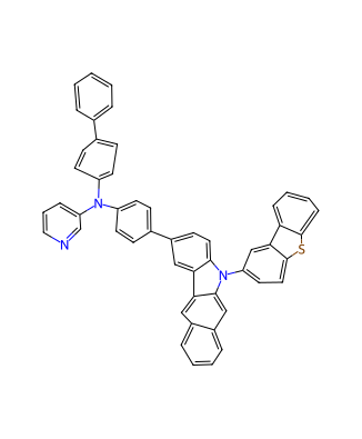 c1ccc(-c2ccc(N(c3ccc(-c4ccc5c(c4)c4cc6ccccc6cc4n5-c4ccc5sc6ccccc6c5c4)cc3)c3cccnc3)cc2)cc1